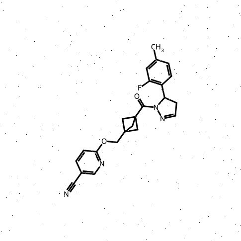 Cc1ccc(C2CC=NN2C(=O)C23CC(COc4ccc(C#N)cn4)(C2)C3)c(F)c1